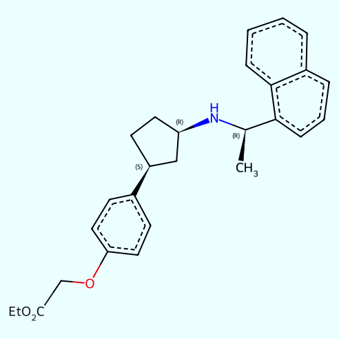 CCOC(=O)COc1ccc([C@H]2CC[C@@H](N[C@H](C)c3cccc4ccccc34)C2)cc1